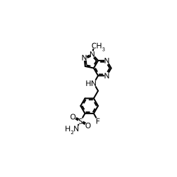 Cn1ncc2c(NCc3ccc(S(N)(=O)=O)c(F)c3)ncnc21